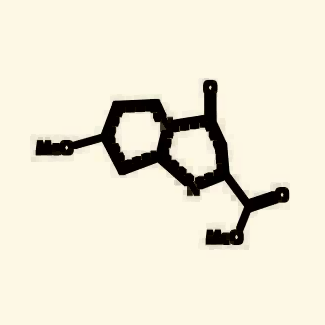 COC(=O)c1cc(=O)n2ccc(OC)cc2n1